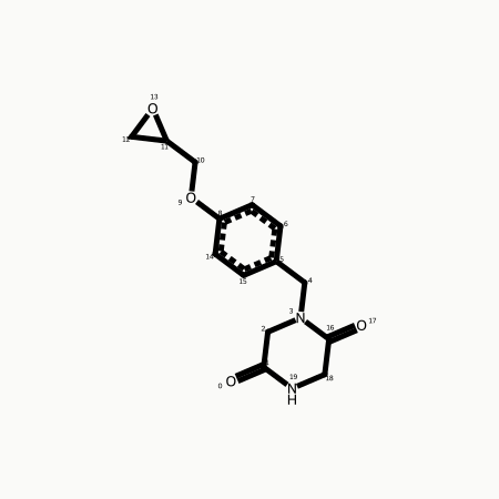 O=C1CN(Cc2ccc(OCC3CO3)cc2)C(=O)CN1